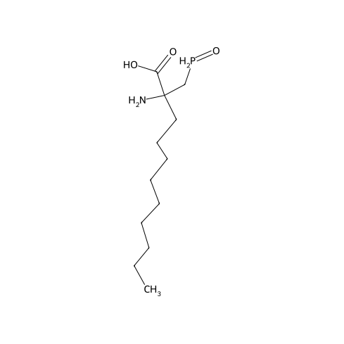 CCCCCCCCCC(N)(C[PH2]=O)C(=O)O